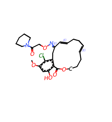 COc1cc(O)c2c(c1Cl)CC(=N\OCC(=O)N1CCCCC1)/C=C/CC/C=C/CCCOC2=O